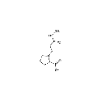 CNC(=O)CCN1CCCC1C(=O)O